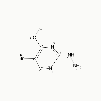 COc1nc(NN)ncc1Br